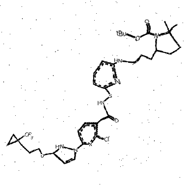 CC(C)(C)OC(=O)N1C(CCCNc2cccc(SNC(=O)c3ccc(N4C=CC(OCCC5(C(F)(F)F)CC5)N4)nc3Cl)n2)CCC1(C)C